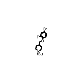 CC(C)(C)N1CCC(COc2ccc(Br)cc2F)CC1